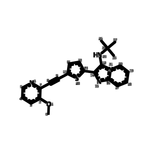 COc1cccnc1C#Cc1ccc(-c2nc3ccccn3c2NC(C)(C)C)s1